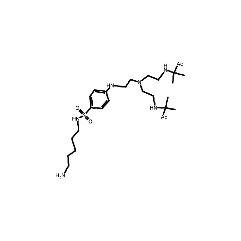 CC(=O)C(C)(C)NCCN(CCNc1ccc(S(=O)(=O)NCCCCCN)cc1)CCNC(C)(C)C(C)=O